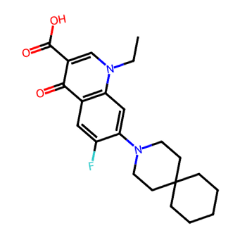 CCn1cc(C(=O)O)c(=O)c2cc(F)c(N3CCC4(CCCCC4)CC3)cc21